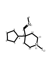 C/N=C/C1(C2CCCC2)CCN(I)CC1